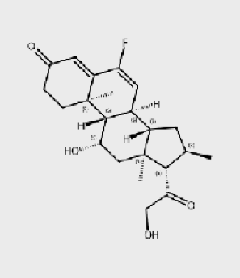 C[C@@H]1C[C@H]2[C@@H]3C=C(F)C4=CC(=O)CC[C@]4(C)[C@H]3[C@@H](O)C[C@]2(C)[C@H]1C(=O)CO